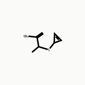 C=C(C(C)SC1C=C1)C(C)(C)C